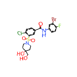 O=C(Nc1ccc(F)c(Br)c1)c1ccc(Cl)c(S(=O)(=O)N2CCC(O)(CO)CC2)c1